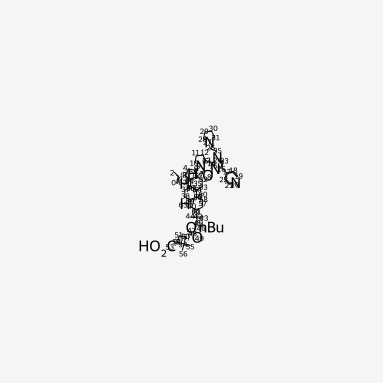 C=C(C)[C@@H]1CC[C@]2(C(=O)N3CCC[C@H]3c3nc(-c4ccncc4)cn3CCN3CCCC3)CC[C@]3(C)[C@H](CC[C@@H]4C[C@H](C(C)(C)[C@H](CCCC)OC(=O)[C@H]5C[C@@H](C(=O)O)C5(C)C)CC[C@]43C)[C@@H]12